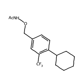 CC(=O)NOCc1ccc(C2CCCCC2)c(C(F)(F)F)c1